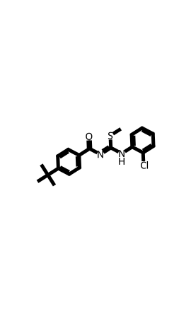 CS/C(=N\C(=O)c1ccc(C(C)(C)C)cc1)Nc1ccccc1Cl